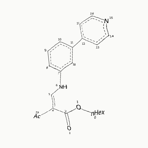 CCCCCCOC(=O)C(=CNc1cccc(-c2ccncc2)c1)C(C)=O